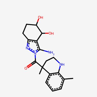 Cc1cccc2c1NCCC2(C)C(=O)n1nc2c(c1N)C(O)C(O)CC2